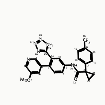 COc1cncc(-c2ccc(NC(=O)C3(c4ccc(C(F)(F)F)cc4)CC3)cc2-c2nnn[nH]2)c1